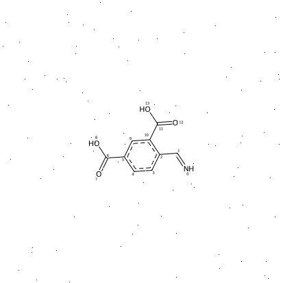 N=Cc1ccc(C(=O)O)cc1C(=O)O